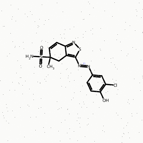 CC1(S(N)(=O)=O)C=Cc2nsc(/N=N/c3ccc(O)c(Cl)c3)c2C1